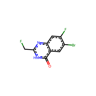 O=c1[nH]c(CF)nc2cc(F)c(Br)cc12